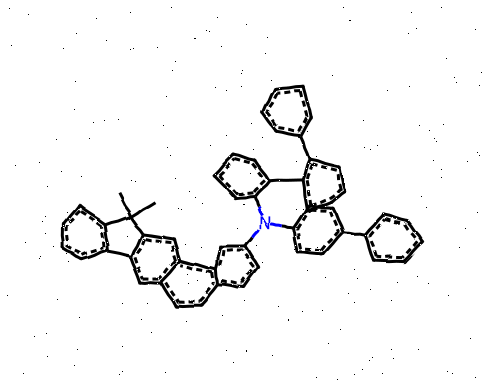 CC1(C)c2ccccc2-c2cc3ccc4ccc(N(c5ccc(-c6ccccc6)cc5)c5ccccc5-c5ccccc5-c5ccccc5)cc4c3cc21